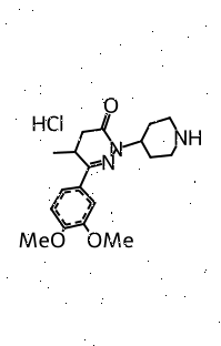 COc1ccc(C2=NN(C3CCNCC3)C(=O)CC2C)cc1OC.Cl